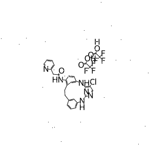 O=C(Cc1ccccn1)Nc1ccc2cc1CCc1cccc(c1)Nc1ncc(Cl)c(n1)N2.O=C(O)C(F)(F)F.O=C(O)C(F)(F)F